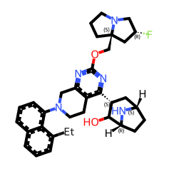 CCc1cccc2cccc(N3CCc4c(nc(OC[C@@]56CCCN5C[C@H](F)C6)nc4[C@@H]4C[C@@H]5CC[C@@H](N5)C4O)C3)c12